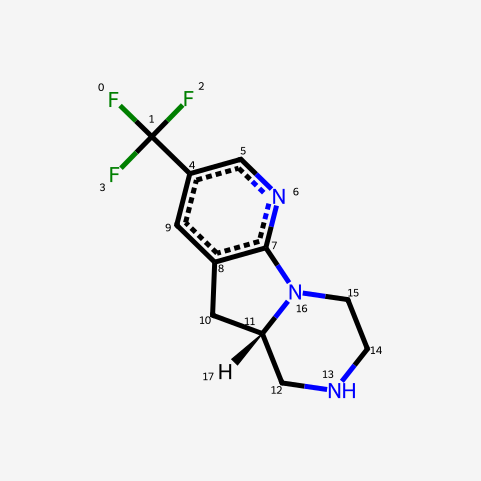 FC(F)(F)c1cnc2c(c1)C[C@H]1CNCCN21